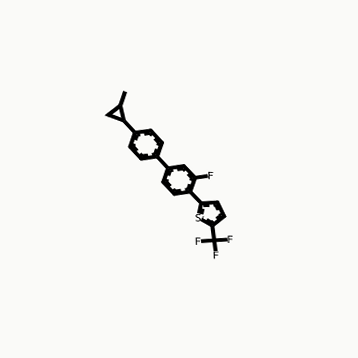 CC1CC1c1ccc(-c2ccc(-c3ccc(C(F)(F)F)s3)c(F)c2)cc1